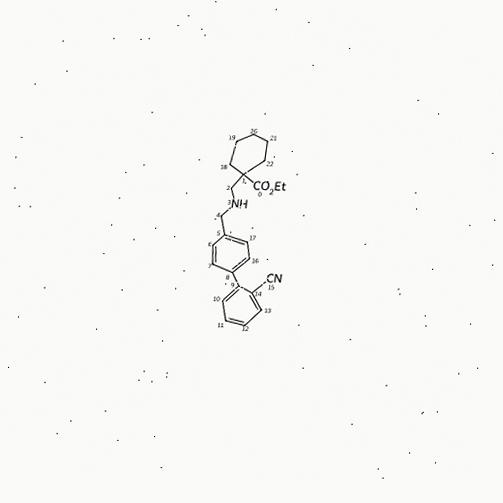 CCOC(=O)C1(CNCc2ccc(-c3ccccc3C#N)cc2)CCCCC1